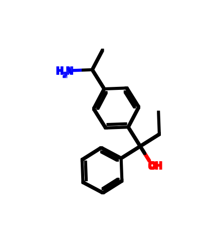 CCC(O)(c1ccccc1)c1ccc(C(C)N)cc1